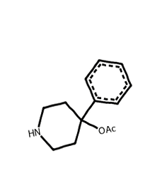 CC(=O)OC1(c2ccccc2)CCNCC1